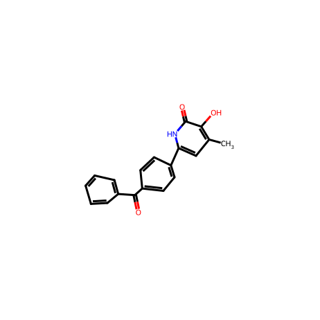 Cc1cc(-c2ccc(C(=O)c3ccccc3)cc2)[nH]c(=O)c1O